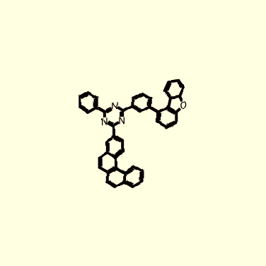 C1=CC2Oc3cccc(-c4cccc(-c5nc(-c6ccccc6)nc(-c6ccc7c(ccc8ccc9ccccc9c87)c6)n5)c4)c3C2C=C1